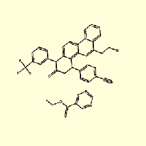 CCOC(=O)c1cncnc1.N#Cc1ccc(C2CC(=O)C(c3cccc(C(F)(F)F)c3)c3ccc4c(cc(CCBr)c5ccccc54)c32)cc1